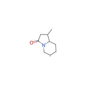 CC1CC(=O)N2C[CH]CCC12